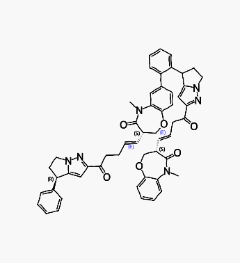 CN1C(=O)[C@@H](/C=C/CC(=O)c2cc3n(n2)CCC3c2ccccc2-c2ccc3c(c2)N(C)C(=O)[C@@H](/C=C/CCC(=O)c2cc4n(n2)CC[C@@H]4c2ccccc2)CO3)COc2ccccc21